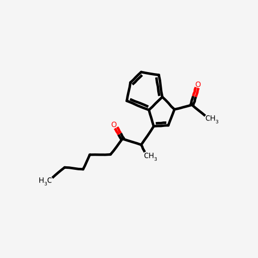 CCCCCC(=O)C(C)C1=CC(C(C)=O)c2ccccc21